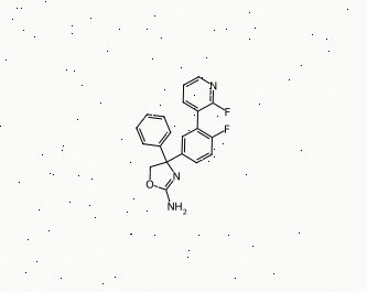 NC1=NC(c2ccccc2)(c2ccc(F)c(-c3cccnc3F)c2)CO1